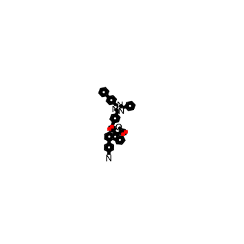 N#Cc1ccc(-c2cccc3c2-c2ccccc2C32c3ccccc3Oc3c(-c4ccc(-c5nc(-c6ccccc6)nc(-c6ccc(-c7ccccc7)cc6)n5)cc4)cccc32)cc1